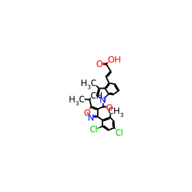 Cc1cc(Cl)cc(Cl)c1-c1noc(C(C)C)c1C(=O)n1cc(C)c2c(/C=C/C(=O)O)cccc21